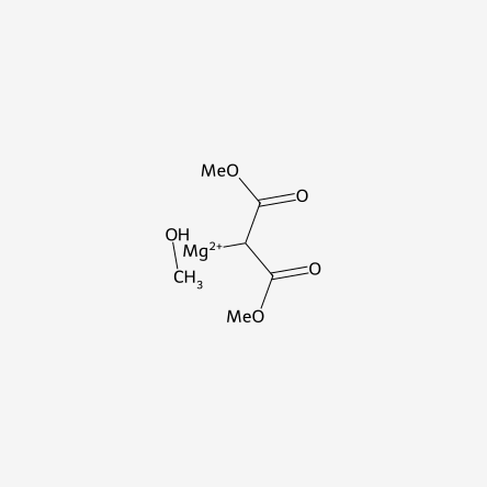 CO.COC(=O)[CH]([Mg+2])C(=O)OC